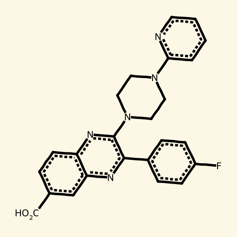 O=C(O)c1ccc2nc(N3CCN(c4ccccn4)CC3)c(-c3ccc(F)cc3)nc2c1